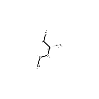 CCSS[C@@H](C)CCl